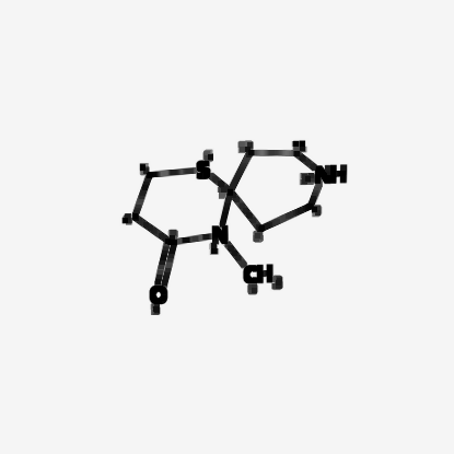 CN1C(=O)CCSC12CCNCC2